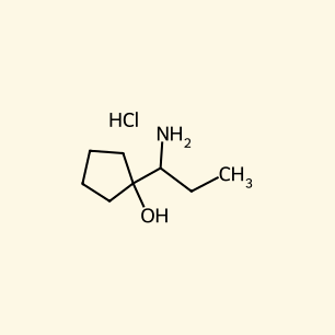 CCC(N)C1(O)CCCC1.Cl